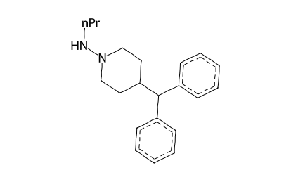 CCCNN1CCC(C(c2ccccc2)c2ccccc2)CC1